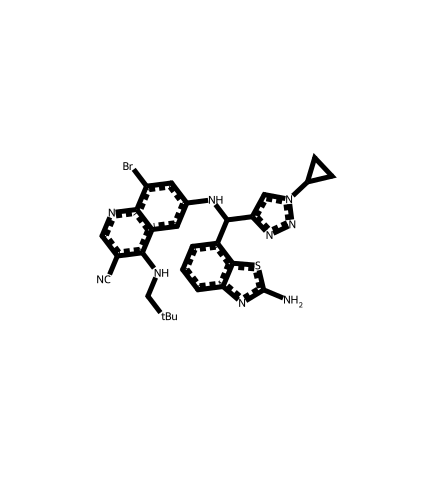 CC(C)(C)CNc1c(C#N)cnc2c(Br)cc(NC(c3cn(C4CC4)nn3)c3cccc4nc(N)sc34)cc12